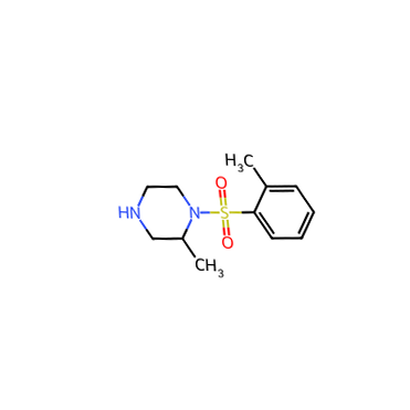 Cc1ccccc1S(=O)(=O)N1CCNCC1C